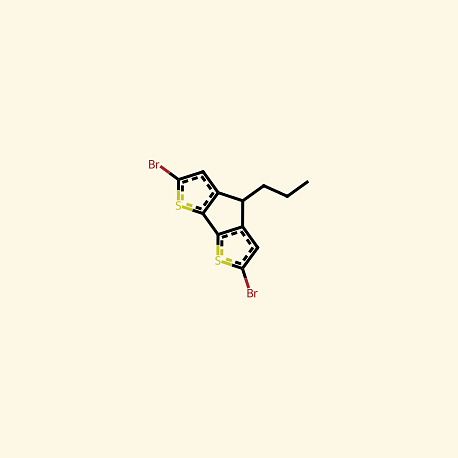 CCCC1c2cc(Br)sc2-c2sc(Br)cc21